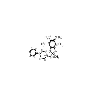 CC(=O)Nc1c(C)c(C)c2c(c1C)CC(C)(CN1CCC(c3ccccc3)CC1)O2